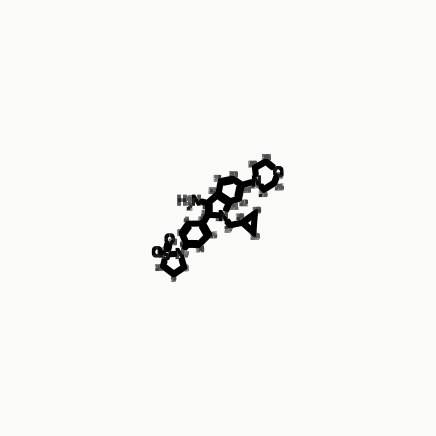 Nc1c(-c2ccc(N3CCCS3(=O)=O)cc2)n(CC2CC2)c2cc(N3CCOCC3)ccc12